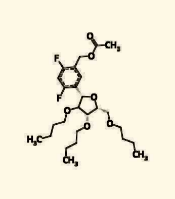 CCCCOC[C@H]1O[C@@H](c2cc(COC(C)=O)c(F)cc2F)C(OCCCC)[C@H]1OCCCC